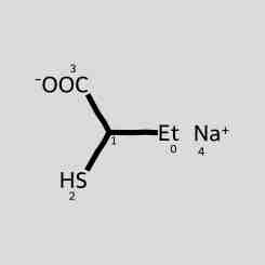 CCC(S)C(=O)[O-].[Na+]